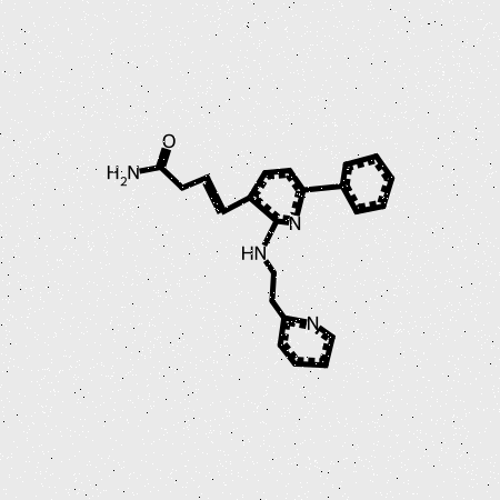 NC(=O)CC=Cc1ccc(-c2ccccc2)nc1NCCc1ccccn1